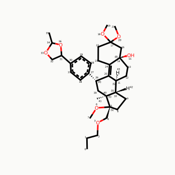 CCCOC[C@]1(OC)CC[C@H]2[C@@H]3CC[C@@]4(O)CC(OC)(OC)CCC4=C3[C@@H](c3ccc(C4COC(C)O4)cc3)C[C@@]21C